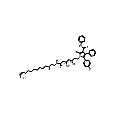 CCCCCCCC/C=C\CCCCCCCCNCCNC(=O)C[C@H](O)C[C@H](O)CCn1c(-c2ccc(F)cc2)c(-c2ccccc2)c(C(=O)Nc2ccccc2)c1C(C)C